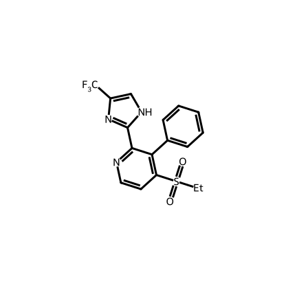 CCS(=O)(=O)c1ccnc(-c2nc(C(F)(F)F)c[nH]2)c1-c1ccccc1